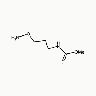 COC(=O)NCCCON